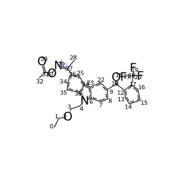 CCOCCn1c2ccc(C(=O)c3ccccc3C(F)(F)F)cc2c2cc(/C(C)=N\OC(C)=O)ccc21